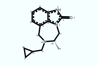 C[C@H]1Cn2c(=O)[nH]c3cccc(c32)CN1CC1CC1